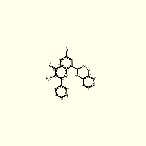 Cc1cc(C(C)Nc2cccnc2O)c2oc(-c3cccnc3)c(C)c(=O)c2c1